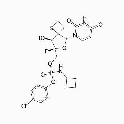 O=c1ccn([C@@H]2O[C@](F)(COP(=O)(NC3CCC3)Oc3ccc(Cl)cc3)[C@@H](O)[C@]23CCS3)c(=O)[nH]1